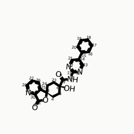 O=C1O[C@]2(CC[C@@](O)(C(=O)Nc3ncc(-c4ccccc4)cn3)CC2)c2cccnc21